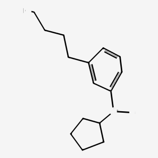 [O-][S+](c1cccc(CCCCO)c1)C1CCCC1